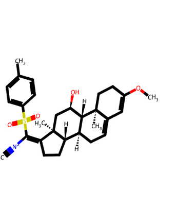 [C-]#[N+]/C(=C1\CC[C@H]2[C@@H]3CC=C4C=C(OC)CC[C@]4(C)[C@H]3[C@H](O)C[C@]12C)S(=O)(=O)c1ccc(C)cc1